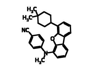 CN(c1ccc(C#N)cc1)c1cccc2c1oc1c(C3CCC(C)(C)CC3)cccc12